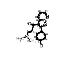 CN(C)/C=C/C(=O)c1c(-c2ccc(Cl)cc2)nn2ncccc12